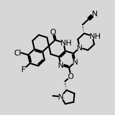 CN1CCC[C@H]1COc1nc2c(c(N3CCN[C@@H](CC#N)C3)n1)NC(=O)C1(CCCc3c1ccc(F)c3Cl)C2